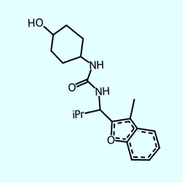 Cc1c(C(NC(=O)NC2CCC(O)CC2)C(C)C)oc2ccccc12